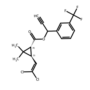 C#CC(OC(=O)[C@@H]1[C@@H](C=C(Cl)Cl)C1(C)C)c1cccc(C(F)(F)F)c1